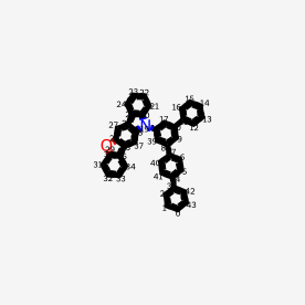 c1ccc(-c2ccc(-c3cc(-c4ccccc4)cc(-n4c5ccccc5c5cc6oc7ccccc7c6cc54)c3)cc2)cc1